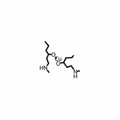 CCCC(CCNC)[O][Cu][O]C(CCC)CCNC